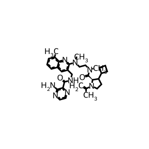 C=C(C)N1CCC(C2CCC2)[C@@H]1C(=O)N(C)CCN(C)c1nc2c(C)cccc2cc1CNC(=O)c1nccnc1N